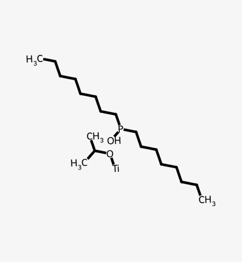 CC(C)[O][Ti].CCCCCCCCP(O)CCCCCCCC